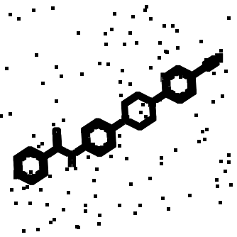 N#Cc1ccc(N2CCN(c3ccc(NC(=O)c4ccncc4)cc3)CC2)nc1